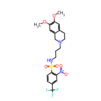 COc1cc2c(cc1OC)CN(CCCNS(=O)(=O)c1ccc(C(F)(F)F)cc1[N+](=O)[O-])CC2